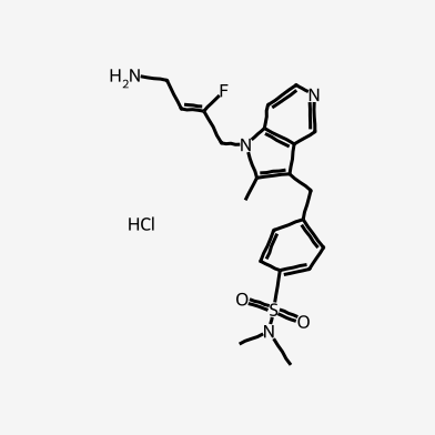 Cc1c(Cc2ccc(S(=O)(=O)N(C)C)cc2)c2cnccc2n1CC(F)=CCN.Cl